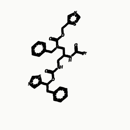 CC(C)C(=O)NC(CNC(=O)OC(Cc1ccccc1)c1cncs1)CN(Cc1ccccc1)C(=O)OCc1cncs1